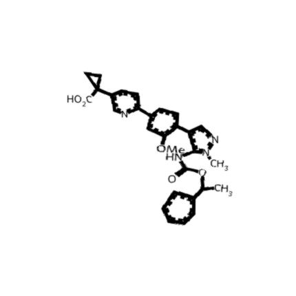 COc1cc(-c2ccc(C3(C(=O)O)CC3)cn2)ccc1-c1cnn(C)c1NC(=O)OC(C)c1ccccc1